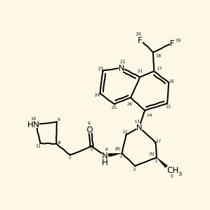 C[C@H]1C[C@@H](NC(=O)CC2CNC2)CN(c2ccc(C(F)F)c3ncccc23)C1